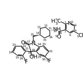 Cc1ncc(Cl)cc1C(=O)N[C@H]1CC[C@H](CN2C(=O)C(O)(c3ccccc3F)c3cc(F)ccc32)CC1